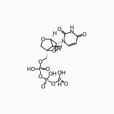 O=c1ccn([C@@H]2O[C@@]3(COP(=O)(O)OP(=O)(O)O[PH](=O)O)CO[C@@H]2[C@@H]3S)c(=O)[nH]1